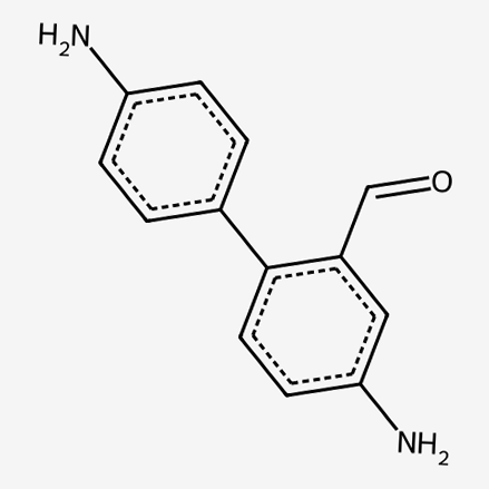 Nc1ccc(-c2ccc(N)cc2C=O)cc1